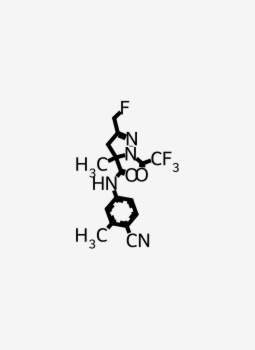 Cc1cc(NC(=O)C2(C)CC(CF)=NN2C(=O)C(F)(F)F)ccc1C#N